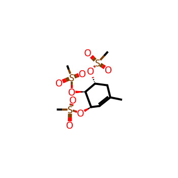 CC1=C[C@@H](OS(C)(=O)=O)[C@@H](OS(C)(=O)=O)[C@H](OS(C)(=O)=O)C1